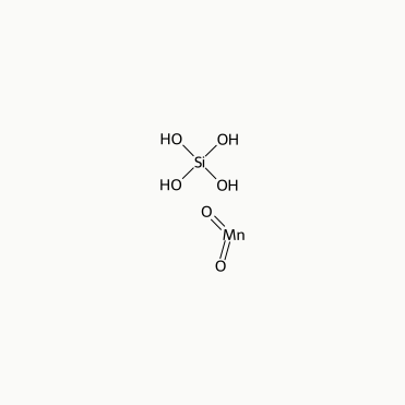 O[Si](O)(O)O.[O]=[Mn]=[O]